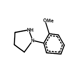 COc1ccccc1N1CCCN1